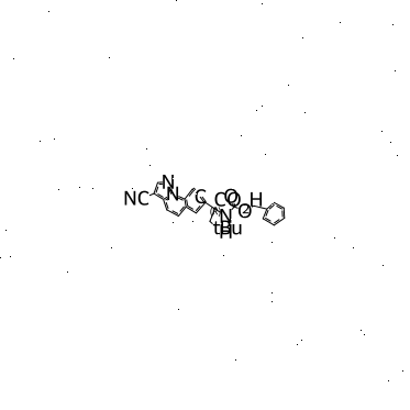 CC(C)(C)C[C@](NC(=O)OCc1ccccc1)(C(=O)O)c1ccc2c(ccc3c(C#N)cnn32)c1